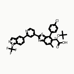 Cc1cc2nc(-c3ccnc(-c4ccc5c(cnn5C(F)(F)F)c4)c3)sc2c(-c2ccc(Cl)cc2)c1[C@H](OC(C)(C)C)C(=O)O